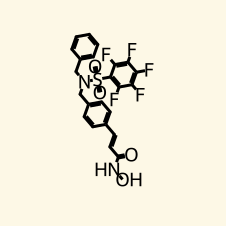 O=C(/C=C/c1ccc(CN(Cc2ccccc2)S(=O)(=O)c2c(F)c(F)c(F)c(F)c2F)cc1)NO